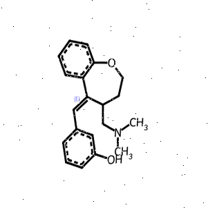 CN(C)CC1CCOc2ccccc2/C1=C/c1cccc(O)c1